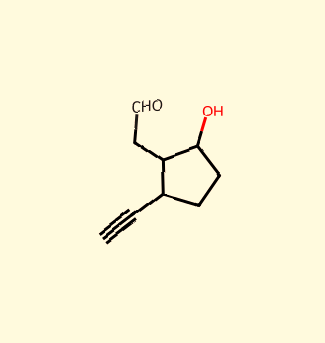 C#CC1CCC(O)C1CC=O